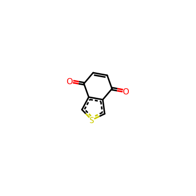 O=C1C=CC(=O)c2cscc21